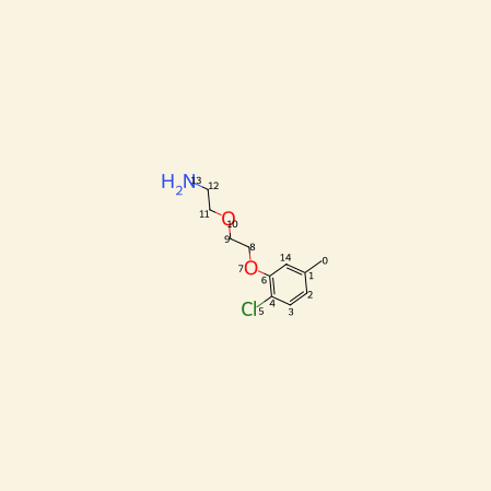 Cc1ccc(Cl)c(OCCOCCN)c1